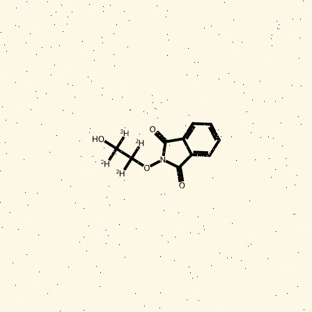 [2H]C([2H])(O)C([2H])([2H])ON1C(=O)c2ccccc2C1=O